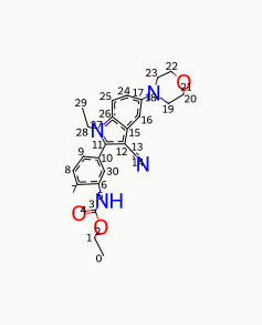 CCOC(=O)Nc1cccc(-c2c(C#N)c3cc(N4CCOCC4)ccc3n2CC)c1